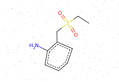 CCS(=O)(=O)Cc1ccccc1N